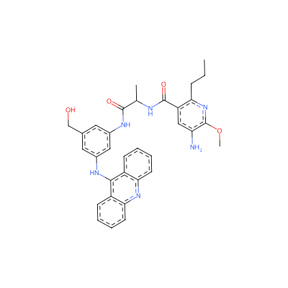 CCCc1nc(OC)c(N)cc1C(=O)NC(C)C(=O)Nc1cc(CO)cc(Nc2c3ccccc3nc3ccccc23)c1